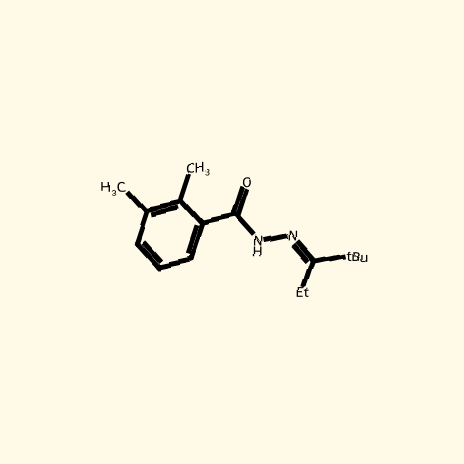 CC/C(=N\NC(=O)c1cccc(C)c1C)C(C)(C)C